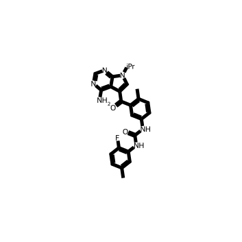 Cc1ccc(F)c(NC(=O)Nc2ccc(C)c(C(=O)c3cn(C(C)C)c4ncnc(N)c34)c2)c1